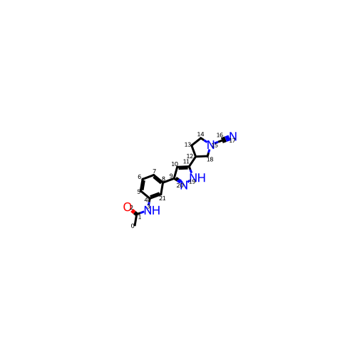 CC(=O)Nc1cccc(-c2cc(C3CCN(C#N)C3)[nH]n2)c1